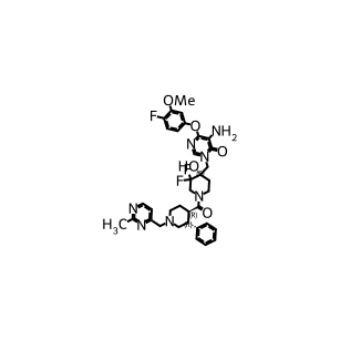 COc1cc(Oc2ncn(C[C@@]3(O)CCN(C(=O)[C@@H]4CCN(Cc5ccnc(C)n5)C[C@H]4c4ccccc4)CC3(F)F)c(=O)c2N)ccc1F